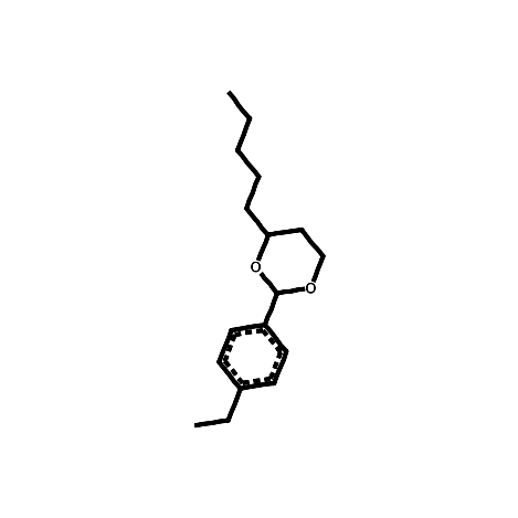 CCCCCC1CCOC(c2ccc(CC)cc2)O1